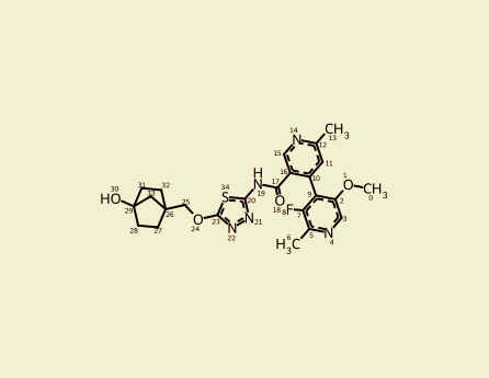 COc1cnc(C)c(F)c1-c1cc(C)ncc1C(=O)Nc1nnc(OCC23CCC(O)(CC2)C3)s1